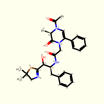 CC(C)C(=O)N1C=C(c2ccccc2)N(CC(=O)N[C@@H](Cc2ccccc2)C(O)C2=NCC(C)(C)S2)C(=O)[C@H]1C(C)C